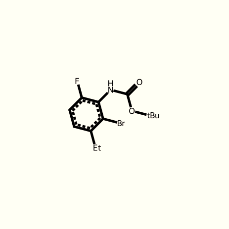 CCc1ccc(F)c(NC(=O)OC(C)(C)C)c1Br